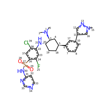 CN(C)[C@H]1C[C@@H](c2cccc(-c3cnn(C)c3)c2)CC[C@@H]1Nc1cc(F)c(S(=O)(=O)Nc2ccncn2)cc1Cl